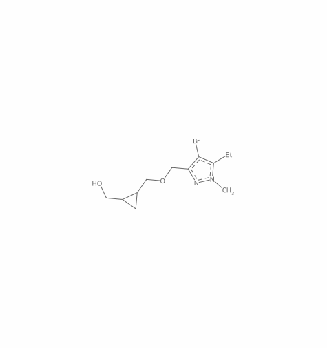 CCc1c(Br)c(COCC2CC2CO)nn1C